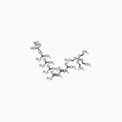 CC(C)[O-].CC(C)[O-].CC(C)[O-].CC(C)[O-].CC(C)[O-].CC(C)[O-].CCO[Si](OCC)(OCC)OCC.O=[N+]([O-])O.[Al+3].[Al+3]